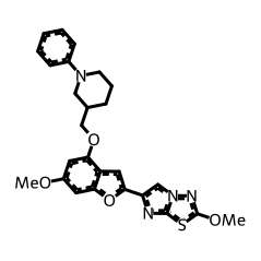 COc1cc(OCC2CCCN(c3ccccc3)C2)c2cc(-c3cn4nc(OC)sc4n3)oc2c1